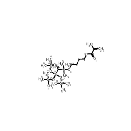 C=C(C)C(=O)OCCC[SiH2]O[Si](C)(C)C(C)[Si](O[Si](C)(C)C)(O[Si](C)(C)C)O[Si](C)(C)C